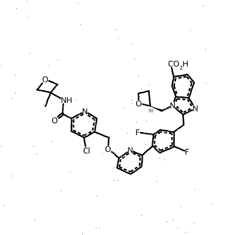 CC1(NC(=O)c2cc(Cl)c(COc3cccc(-c4cc(F)c(Cc5nc6ccc(C(=O)O)cc6n5C[C@@H]5CCO5)cc4F)n3)cn2)COC1